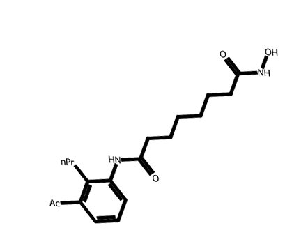 CCCc1c(NC(=O)CCCCCCC(=O)NO)cccc1C(C)=O